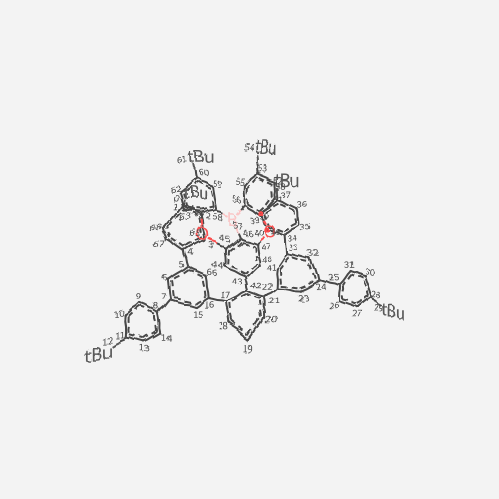 CC(C)(C)c1ccc(-c2cc(-c3ccc(C(C)(C)C)cc3)cc(-c3cccc(-c4cc(-c5ccc(C(C)(C)C)cc5)cc(-c5ccc(C(C)(C)C)cc5)c4)c3-c3cc4c5c(c3)Oc3ccc(C(C)(C)C)cc3B5c3cc(C(C)(C)C)ccc3O4)c2)cc1